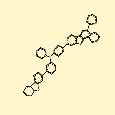 C1=CCC2Oc3cc(-c4cccc(N(c5ccccc5)c5ccc(-c6ccc7c(c6)oc6c8ccccc8c(-c8ccccc8)cc76)cc5)c4)ccc3C2=C1